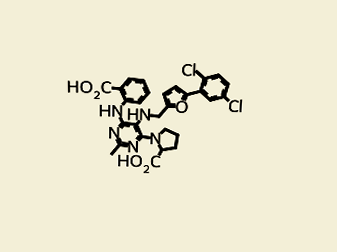 Cc1nc(Nc2ccccc2C(=O)O)c(NCc2ccc(-c3cc(Cl)ccc3Cl)o2)c(N2CCCC2C(=O)O)n1